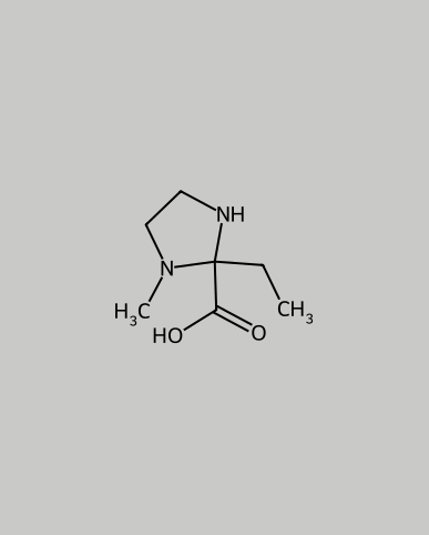 CCC1(C(=O)O)NCCN1C